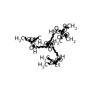 C=CCOCC(CC)(COCC=C)COC(=O)NCCCCCCn1c(=O)n(CCCCCCNC(=O)OCC(CC)(COCC=C)COCC=C)c(=O)n(CCCCCCNC(=O)OCC(COC(=O)C=C)(COC(=O)C=C)COC(=O)C=C)c1=O